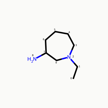 CCN1CCCCC(N)C1